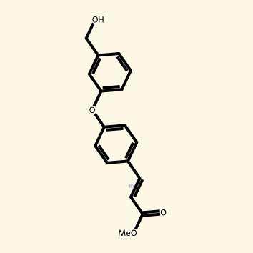 COC(=O)/C=C/c1ccc(Oc2cccc(CO)c2)cc1